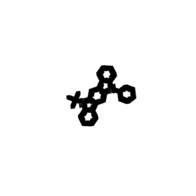 CC(C)(C)n1c2ccccc2c2cc3c(cc21)c1ccccc1n3-c1ccccc1